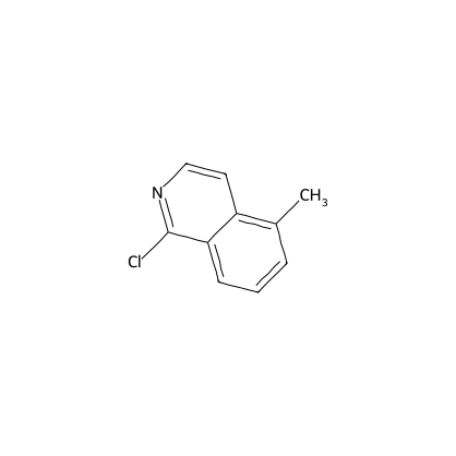 Cc1cccc2c(Cl)nccc12